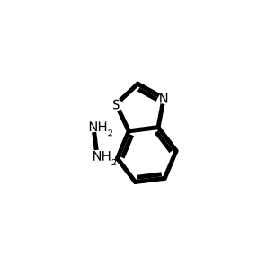 NN.c1ccc2scnc2c1